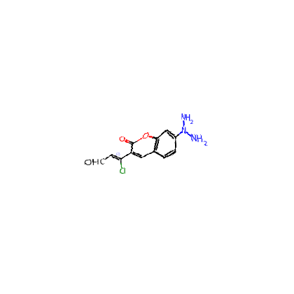 NN(N)c1ccc2cc(/C(Cl)=C/C=O)c(=O)oc2c1